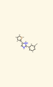 Cc1cccc(-c2ncc(-c3cccs3)[nH]2)c1